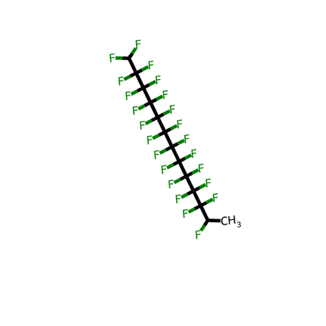 CC(F)C(F)(F)C(F)(F)C(F)(F)C(F)(F)C(F)(F)C(F)(F)C(F)(F)C(F)(F)C(F)(F)C(F)(F)[C](F)F